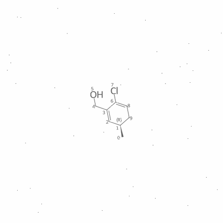 C[C@H]1C=C(CO)C(Cl)=CC1